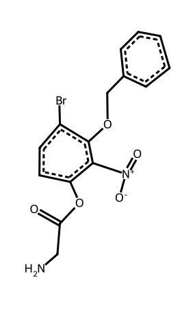 NCC(=O)Oc1ccc(Br)c(OCc2ccccc2)c1[N+](=O)[O-]